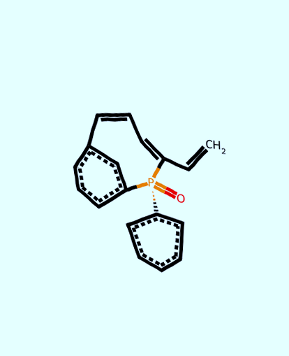 C=C/C1=C\C=C/c2cccc(c2)[P@@]1(=O)c1ccccc1